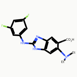 CCN(CC)c1cc2[nH]c(Nc3cc(F)cc(F)c3)nc2cc1C(=O)O